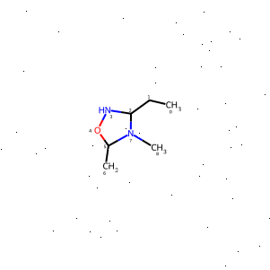 CCC1NOC(C)N1C